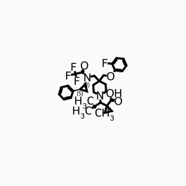 CC(C)(C)C(N1CCC(COc2ccccc2F)(CN(C(=O)C(F)(F)F)[C@@H]2C[C@H]2c2ccccc2)CC1)C1(C(=O)O)CC1